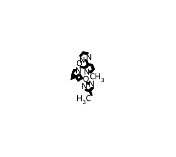 CCc1cnc(OC2CC34CC3CN(C(=O)c3nc(C)ccc3-c3ncccn3)C24)nc1